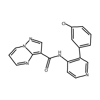 O=C(Nc1ccncc1-c1cccc(Cl)c1)c1cnn2cccnc12